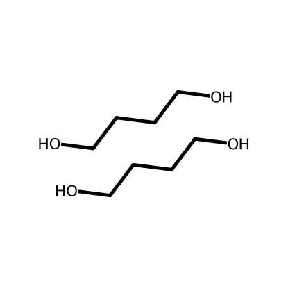 OCCCCO.OCCCCO